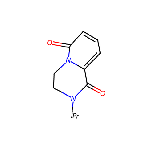 CC(C)N1CCn2c(cccc2=O)C1=O